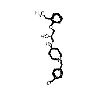 CCc1ccccc1OC[C@@H](O)CNC1CCN(Cc2ccc(Cl)cc2)CC1